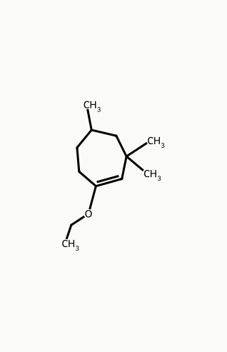 CCOC1=CC(C)(C)CC(C)CC1